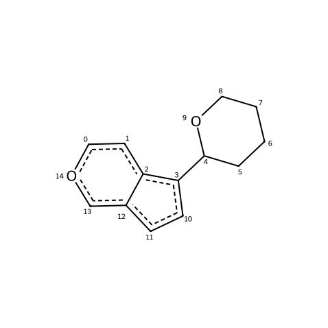 c1cc2c(C3CCCCO3)ccc-2co1